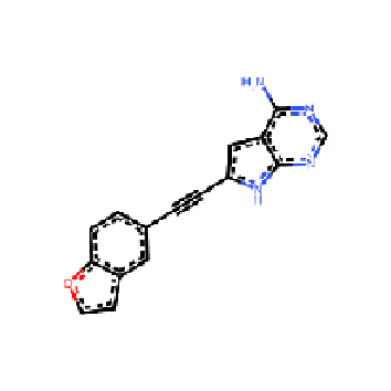 Nc1ncnc2[nH]c(C#Cc3ccc4occc4c3)cc12